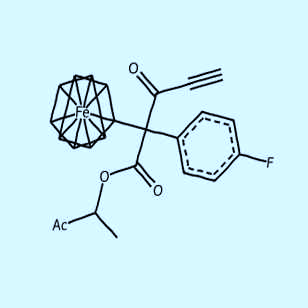 C#CC(=O)C(C(=O)OC(C)C(C)=O)(c1ccc(F)cc1)[C]12[CH]3[CH]4[CH]5[CH]1[Fe]45321678[CH]2[CH]1[CH]6[CH]7[CH]28